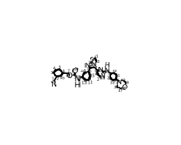 N#Cc1cccc(COC(=O)Nc2cccc(-c3nc4sccn4c3-c3ccnc(Nc4ccc(N5CCOCC5)cc4)n3)c2)c1